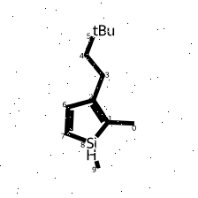 CC1=C(CCC(C)(C)C)C=C[SiH]1C